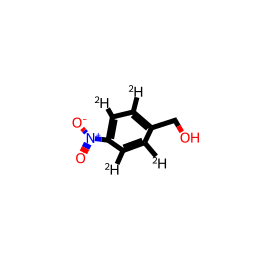 [2H]c1c([2H])c([N+](=O)[O-])c([2H])c([2H])c1CO